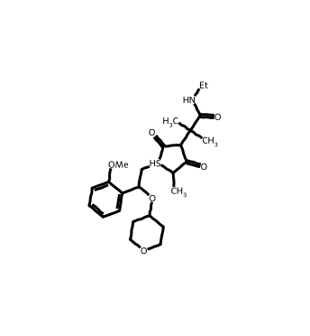 CCNC(=O)C(C)(C)C1C(=O)C(C)[SH](CC(OC2CCOCC2)c2ccccc2OC)C1=O